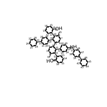 Cc1ccc(-c2ccc(C)c(-c3ccccc3O)c2-c2ccc(-c3ccccc3)cc2)c(-c2ccc(Nc3ccc(-c4ccccc4)cc3)cc2)c1-c1ccccc1O